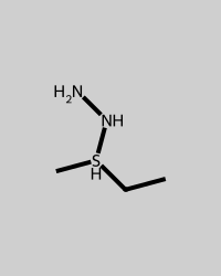 CC[SH](C)NN